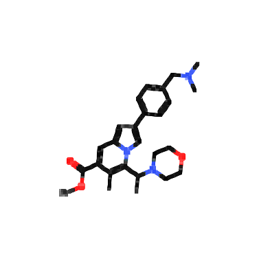 Cc1c(C(=O)OC(C)C)cc2cc(-c3ccc(CN(C)C)cc3)cn2c1C(C)N1CCOCC1